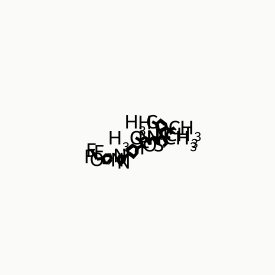 Cc1ccc(C(C)C)c(N2/C(=N/C(=O)NC(C)C(F)c3ccc(-c4ncn(-c5ccc(OC(F)(F)F)cc5)n4)cc3)SCCC2C)c1